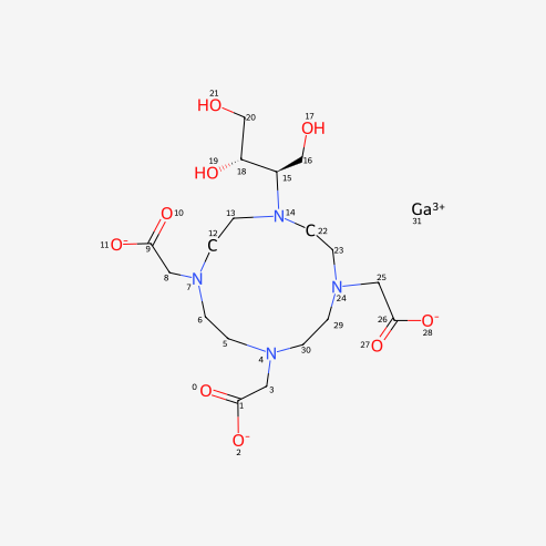 O=C([O-])CN1CCN(CC(=O)[O-])CCN([C@H](CO)[C@H](O)CO)CCN(CC(=O)[O-])CC1.[Ga+3]